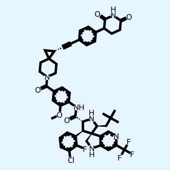 COc1cc(C(=O)N2CCC3(CC2)C[C@@H]3C#Cc2ccc(C3CCC(=O)NC3=O)cc2)ccc1NC(=O)[C@@H]1N[C@@H](CC(C)(C)C)[C@@]2(CNc3cc(C(F)(F)F)ncc32)[C@H]1c1cccc(Cl)c1F